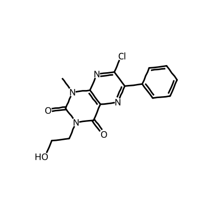 Cn1c(=O)n(CCO)c(=O)c2nc(-c3ccccc3)c(Cl)nc21